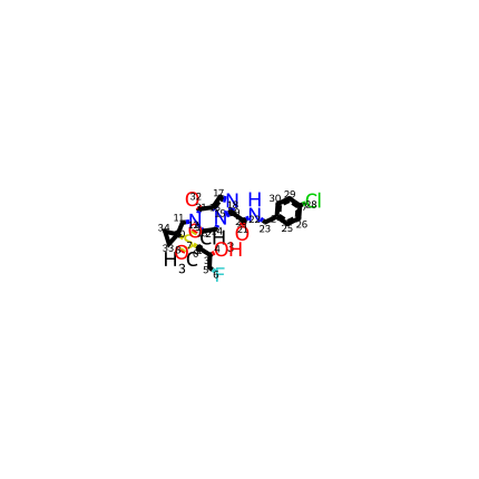 CC(C)(C(O)CF)S(=O)(=O)C1(CN2CCn3c(cnc3C(=O)NCc3ccc(Cl)cc3)C2=O)CC1